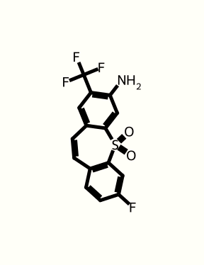 Nc1cc2c(cc1C(F)(F)F)C=Cc1ccc(F)cc1S2(=O)=O